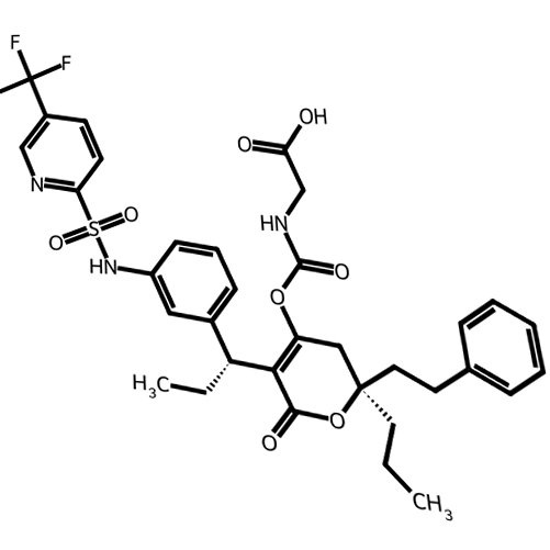 CCC[C@@]1(CCc2ccccc2)CC(OC(=O)NCC(=O)O)=C([C@H](CC)c2cccc(NS(=O)(=O)c3ccc(C(F)(F)F)cn3)c2)C(=O)O1